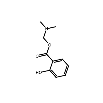 CN(C)COC(=O)c1ccccc1O